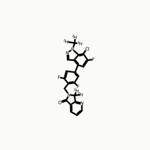 [2H]C1([2H])c2ncccc2C(=O)N1Cc1c(F)cc(-c2cc(F)c(Cl)c3c2cnn3C([2H])([2H])[2H])cc1F